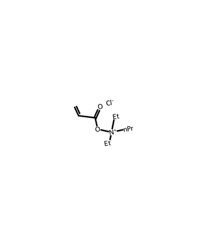 C=CC(=O)O[N+](CC)(CC)CCC.[Cl-]